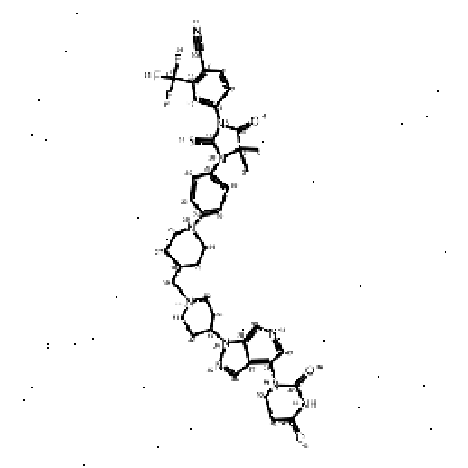 CC1(C)C(=O)N(c2ccc(C#N)c(C(F)(F)F)c2)C(=S)N1c1ccc(N2CCC(CN3CCC(n4ncc5c(N6CCC(=O)NC6=O)cncc54)CC3)CC2)cc1